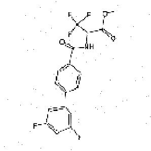 COC(=O)C(NC(=O)c1ccc(-c2cc(F)cc(F)c2)cc1)C(F)(F)F